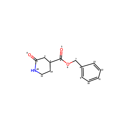 O=C1CC(C(=O)OCc2ccccc2)CCN1